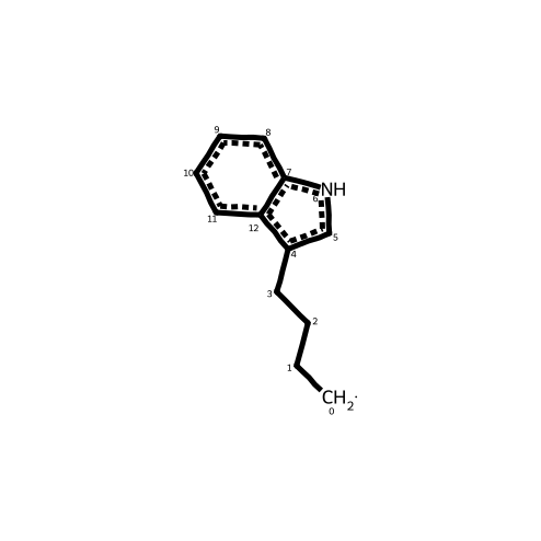 [CH2]CCCc1c[nH]c2ccccc12